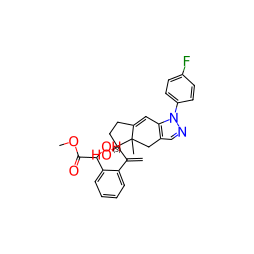 C=C(c1ccccc1C(O)C(=O)OC)[C@]1(O)CCC2=Cc3c(cnn3-c3ccc(F)cc3)CC21C